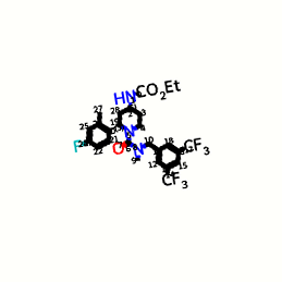 CCOC(=O)N[C@H]1CCN(C(=O)N(C)Cc2cc(C(F)(F)F)cc(C(F)(F)F)c2)[C@H](c2ccc(F)cc2C)C1